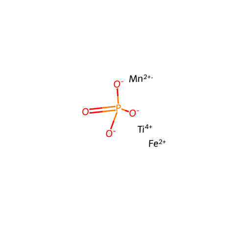 O=P([O-])([O-])[O-].[Fe+2].[Mn+2].[Ti+4]